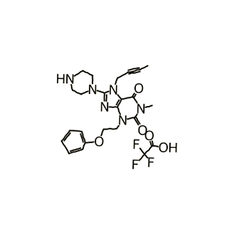 CC#CCn1c(N2CCNCC2)nc2c1c(=O)n(C)c(=O)n2CCOc1ccccc1.O=C(O)C(F)(F)F